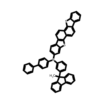 CC1(c2cccc(N(c3ccc(-c4ccccc4)cc3)c3ccc4c(c3)sc3c4ccc4c3ccc3c5ccccc5sc34)c2)c2ccccc2-c2ccccc21